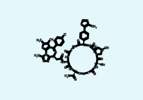 Cc1ncsc1-c1ccc([C@H]2NC(=O)[C@@H]3C[C@@H](O)CN3C(=O)[C@H](C(C)(C)C)NC(=O)CSC[C@H](C(N)=O)NC(=O)[C@@H](NC(=O)C[C@@H]3N=C(c4ccc(Cl)cc4)c4c(sc(C)c4C)-n4c(C)nnc43)NC(=O)CNC2=O)cc1